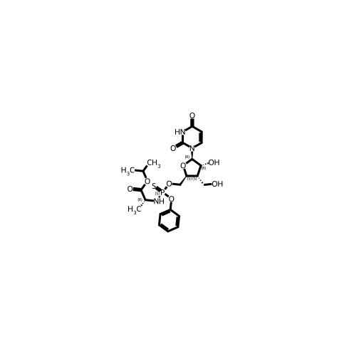 CC(C)OC(=O)[C@@H](C)N[P@](=S)(OC[C@H]1O[C@@H](n2ccc(=O)[nH]c2=O)[C@H](O)[C@@H]1CO)Oc1ccccc1